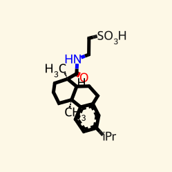 CC(C)c1ccc2c(c1)CC[C@H]1[C@](C)(C(=O)NCCS(=O)(=O)O)CCC[C@]21C